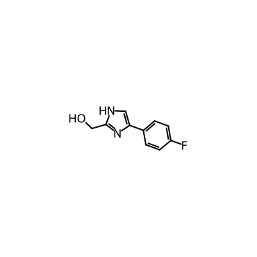 OCc1nc(-c2ccc(F)cc2)c[nH]1